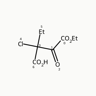 CCOC(=O)C(=O)C(Cl)(CC)C(=O)O